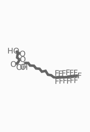 O=C(O)CC(OC(=O)CCCCCCCCCCC(F)(F)C(F)(F)C(F)(F)C(F)(F)C(F)(F)C(F)(F)F)C(=O)O